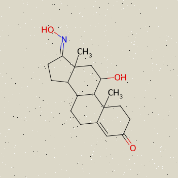 CC12CC(O)C3C(CCC4=CC(=O)CCC43C)C1CCC2=NO